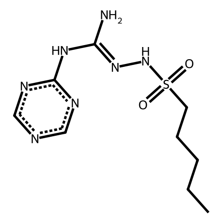 CCCCCS(=O)(=O)NN=C(N)Nc1ncncn1